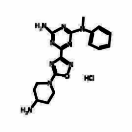 CN(c1ccccc1)c1nc(N)nc(-c2noc(N3CCC(N)CC3)n2)n1.Cl